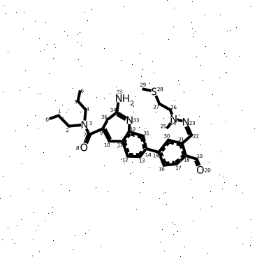 CCCN(CCC)C(=O)C1=Cc2ccc(-c3ccc(C=O)c(/C=N\N(C)CCSC)c3)cc2N=C(N)C1